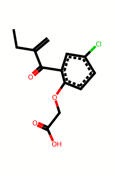 C=C(CC)C(=O)c1cc(Cl)ccc1OCC(=O)O